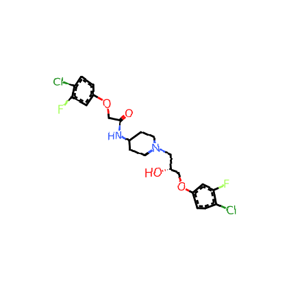 O=C(COc1ccc(Cl)c(F)c1)NC1CCN(C[C@@H](O)COc2ccc(Cl)c(F)c2)CC1